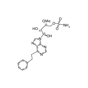 CO[C@H](COS(N)(=O)=O)[C@@H](O)[C@@H](O)n1cnc2c(CCc3ccccc3)ncnc21